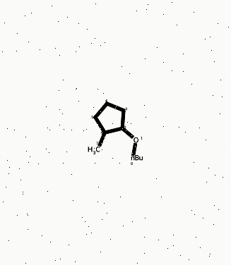 CCCCOC1CCCC1C